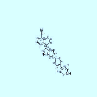 C[C@@H]1CNC[C@H](C)N1c1ccc(-c2cnc3c(-c4cccc5c(C#N)cccc45)cnn3c2)cc1